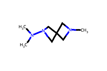 CN1CC2(C1)CN(N(C)C)C2